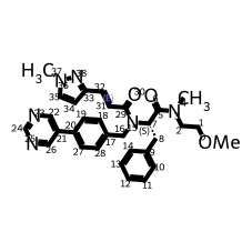 COCCN(C)C(=O)[C@H](Cc1ccccc1)N(Cc1ccc(-c2cncnc2)cc1)C(=O)/C=C/c1ccn(C)n1